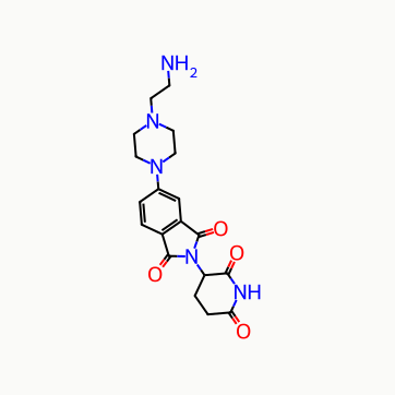 NCCN1CCN(c2ccc3c(c2)C(=O)N(C2CCC(=O)NC2=O)C3=O)CC1